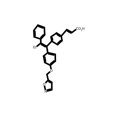 CCC(=C(c1ccc(C=CC(=O)O)cc1)c1ccc(OCc2ccno2)cc1)c1ccccc1